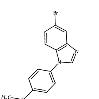 COc1ccc(-n2cnc3cc(Br)ccc32)cc1